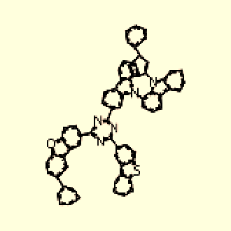 C1=CC(c2ccccc2)C=C1n1c2ccccc2c2cccc(-n3c4ccccc4c4ccc(-c5nc(-c6ccc7oc8ccc(-c9ccccc9)cc8c7c6)nc(-c6ccc7sc8ccccc8c7c6)n5)cc43)c21